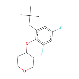 CC(C)(C)Cc1cc(F)cc(F)c1OC1CCOCC1